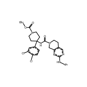 CC(C)Nc1ncc2c(n1)CN(C(=O)NC1(c3ccc(Cl)c(Cl)c3)CCN(C(=O)OC(C)(C)C)CC1)CC2